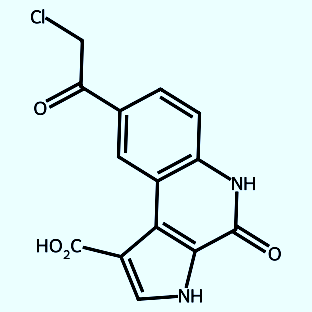 O=C(CCl)c1ccc2[nH]c(=O)c3[nH]cc(C(=O)O)c3c2c1